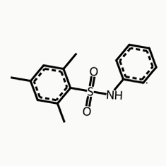 Cc1cc(C)c(S(=O)(=O)Nc2[c]cccc2)c(C)c1